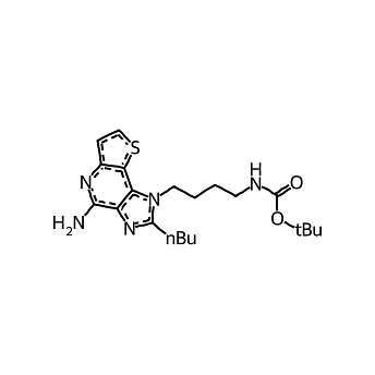 CCCCc1nc2c(N)nc3ccsc3c2n1CCCCNC(=O)OC(C)(C)C